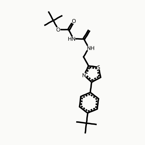 C=C(NCc1nc(-c2ccc(C(C)(C)C)cc2)cs1)NC(=O)OC(C)(C)C